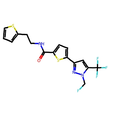 O=C(NCCc1cccs1)c1ccc(-c2cc(C(F)(F)F)n(CF)n2)s1